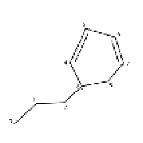 CCC[C]1C=CC=[C]C1